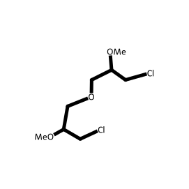 COC(CCl)COCC(CCl)OC